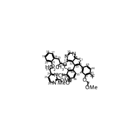 COCOc1cc(-c2sc3ncnc(O[C@H](Cc4ccccc4OCc4ccnc(OC)n4)C(=O)O)c3c2-c2ccc(OC)c(Cl)c2C)ccc1F